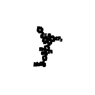 CCC1CC(N(Cc2cc(C(F)(F)F)cc(C(F)(F)F)c2)c2ncc(OCc3ccccc3)cn2)CC(CC)N1C(=O)OC1CCC(C(=O)OC)CC1